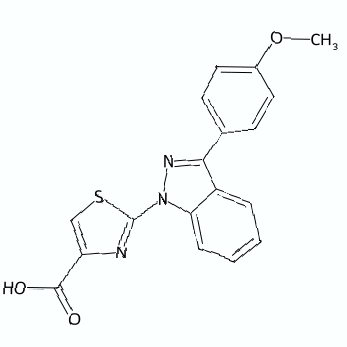 COc1ccc(-c2nn(-c3nc(C(=O)O)cs3)c3ccccc23)cc1